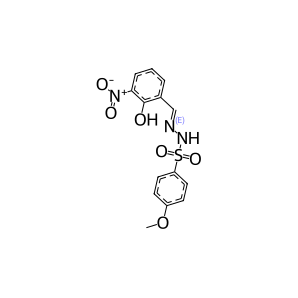 COc1ccc(S(=O)(=O)N/N=C/c2cccc([N+](=O)[O-])c2O)cc1